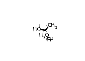 CCO.F.O